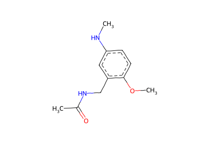 CNc1ccc(OC)c(CNC(C)=O)c1